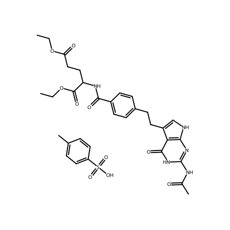 CCOC(=O)CCC(NC(=O)c1ccc(CCc2c[nH]c3nc(NC(C)=O)[nH]c(=O)c23)cc1)C(=O)OCC.Cc1ccc(S(=O)(=O)O)cc1